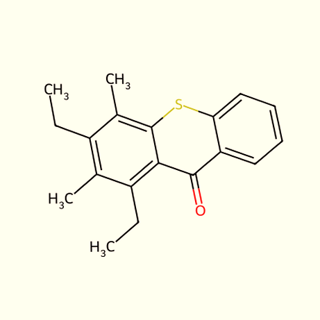 CCc1c(C)c(CC)c2c(=O)c3ccccc3sc2c1C